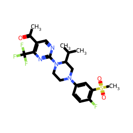 CC(=O)c1cnc(N2CCN(c3ccc(F)c(S(C)(=O)=O)c3)CC2C(C)C)nc1C(F)(F)F